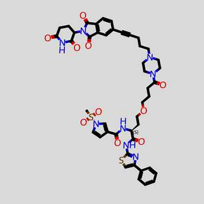 CS(=O)(=O)n1ccc(C(=O)N[C@@H](CCOCCCC(=O)N2CCN(CCCC#Cc3ccc4c(c3)C(=O)N(C3CCC(=O)NC3=O)C4=O)CC2)C(=O)Nc2nc(-c3ccccc3)cs2)c1